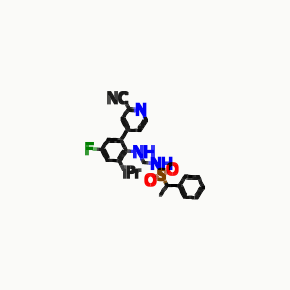 CC(C)c1cc(F)cc(-c2ccnc(C#N)c2)c1NCNS(=O)(=O)C(C)c1ccccc1